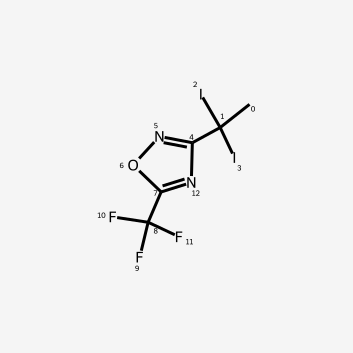 CC(I)(I)c1noc(C(F)(F)F)n1